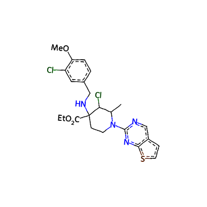 CCOC(=O)C1(NCc2ccc(OC)c(Cl)c2)CCN(c2ncc3ccsc3n2)C(C)C1Cl